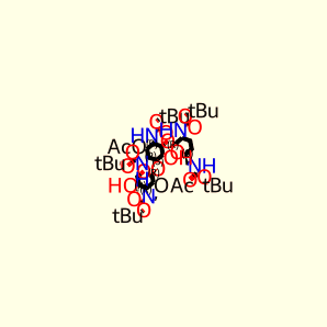 CC(=O)OC1[C@@H](NC(=O)OC(C)(C)C)C(O[C@H]2O[C@H](CNC(=O)OC(C)(C)C)CCC2NC(=O)OC(C)(C)C)C(O)[C@@H](O[C@H]2OC[C@](C)(O)[C@H](N(C)C(=O)OC(C)(C)C)C2OC(C)=O)[C@@H]1NC(=O)OC(C)(C)C